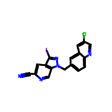 N#Cc1cc2c(I)nn(Cc3ccc4ncc(Cl)cc4c3)c2cn1